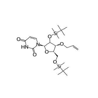 C=CCO[C@@H]1C(O[Si](C)(C)C(C)(C)C)[C@H](n2ccc(=O)[nH]c2=O)O[C@@H]1CO[Si](C)(C)C(C)(C)C